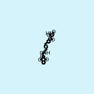 O=C1CCC(N2Cc3cc(CN4CCN(CCNC(=O)c5cc6c(o5)C(=O)c5ccccc5C6=O)CC4)ccc3C2=O)C(=O)N1